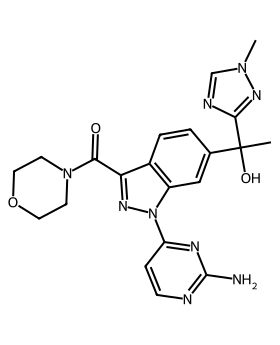 Cn1cnc(C(C)(O)c2ccc3c(C(=O)N4CCOCC4)nn(-c4ccnc(N)n4)c3c2)n1